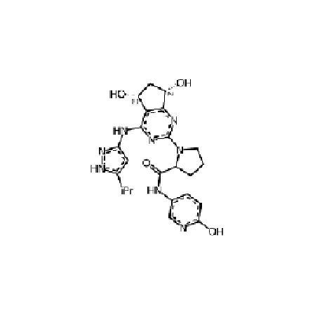 CC(C)c1cc(Nc2nc(N3CCCC3C(=O)Nc3ccc(O)nc3)nc3c2[C@H](O)C[C@@H]3O)n[nH]1